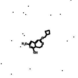 CC1=CC2=CC(OCC3CCC3)=NCCC2C(O)=N1